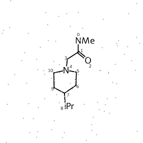 CNC(=O)CN1CCC(C(C)C)CC1